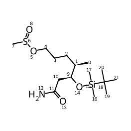 C[C@H](CCCOS(C)=O)[C@H](CC(N)=O)O[Si](C)(C)C(C)(C)C